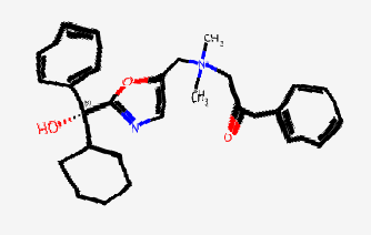 C[N+](C)(CC(=O)c1ccccc1)Cc1cnc([C@](O)(c2ccccc2)C2CCCCC2)o1